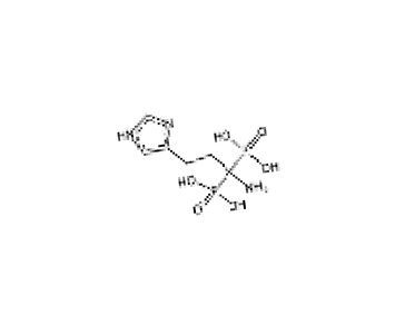 NC(CCc1c[nH]cn1)(P(=O)(O)O)P(=O)(O)O